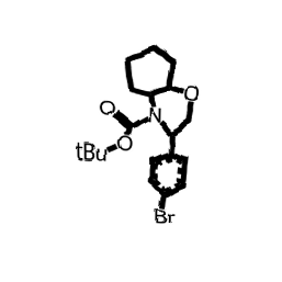 CC(C)(C)OC(=O)N1C(c2ccc(Br)cc2)COC2CCCCC21